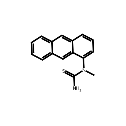 CN(C(N)=S)c1cccc2cc3ccccc3cc12